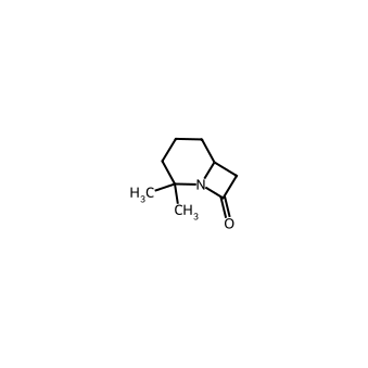 CC1(C)CCCC2CC(=O)N21